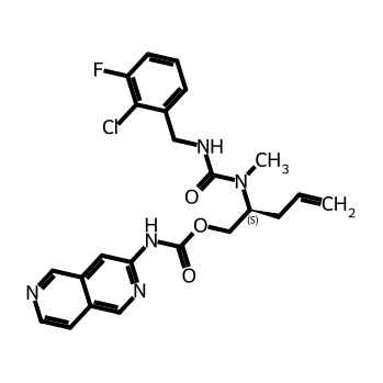 C=CC[C@@H](COC(=O)Nc1cc2cnccc2cn1)N(C)C(=O)NCc1cccc(F)c1Cl